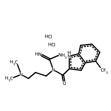 CN(C)CCCN(C(=N)N)C(=O)c1cc2c(C(F)(F)F)cccc2[nH]1.Cl.Cl